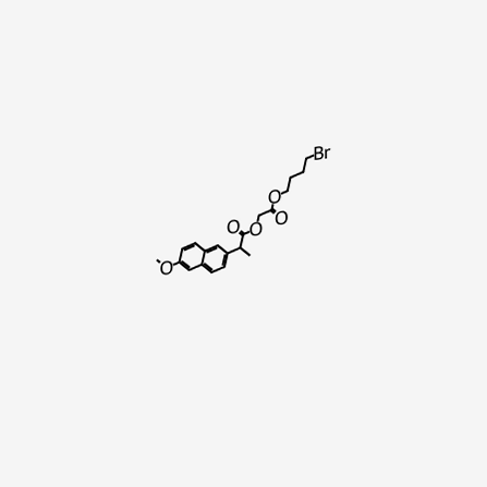 COc1ccc2cc(C(C)C(=O)OCC(=O)OCCCCBr)ccc2c1